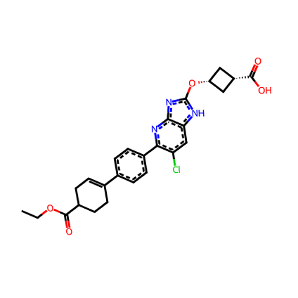 CCOC(=O)C1CC=C(c2ccc(-c3nc4nc(O[C@H]5C[C@@H](C(=O)O)C5)[nH]c4cc3Cl)cc2)CC1